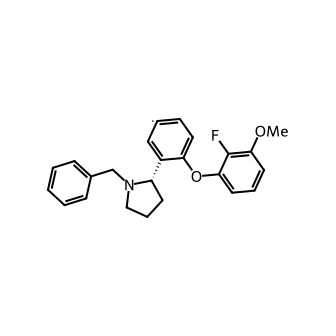 COc1cccc(Oc2cc[c]cc2[C@@H]2CCCN2Cc2ccccc2)c1F